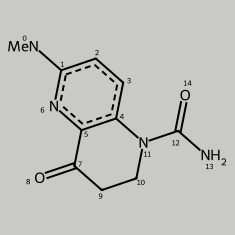 CNc1ccc2c(n1)C(=O)CCN2C(N)=O